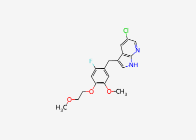 COCCOc1cc(F)c(Cc2c[nH]c3ncc(Cl)cc23)cc1OC